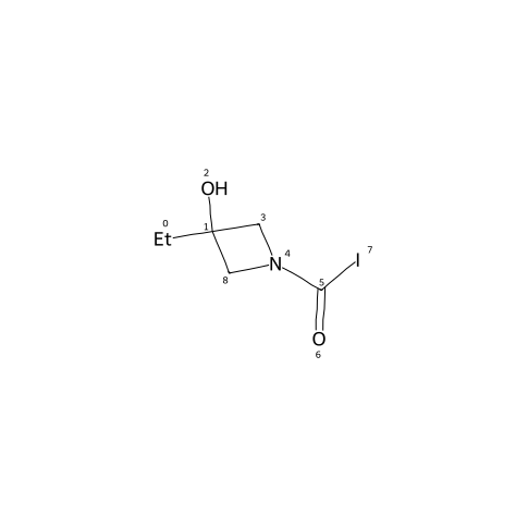 CCC1(O)CN(C(=O)I)C1